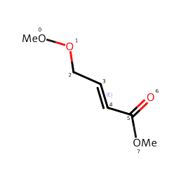 COOC/C=C/C(=O)OC